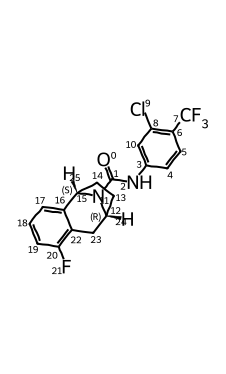 O=C(Nc1ccc(C(F)(F)F)c(Cl)c1)N1[C@@H]2CC[C@H]1c1cccc(F)c1C2